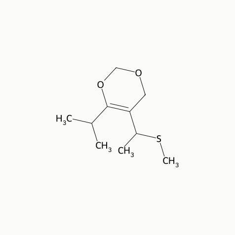 CSC(C)C1=C(C(C)C)OCOC1